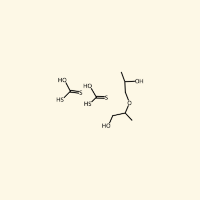 CC(O)COC(C)CO.OC(=S)S.OC(=S)S